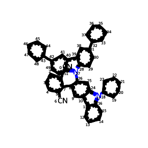 N#Cc1cccc(C#N)c1-c1cc2c3ccccc3n(-c3ccccc3)c2cc1-n1c2ccc(-c3ccccc3)cc2c2cc(-c3ccccc3)ccc21